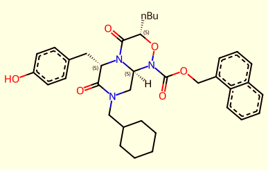 CCCC[C@@H]1ON(C(=O)OCc2cccc3ccccc23)[C@H]2CN(CC3CCCCC3)C(=O)[C@H](Cc3ccc(O)cc3)N2C1=O